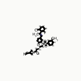 C/C(=C\c1ccc2c(c1)N(S(=O)(=O)c1cccc(C)c1)C[C@H](CCC(=O)N1CC(C#N)C1)O2)c1c(F)cccc1Cl